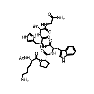 CC(=O)N[C@@H](CCCCN)C(=O)N1CCC[C@H]1C(=O)N[C@@H](Cc1c[nH]c2ccccc12)C(=O)N[C@@H](Cc1c[nH]cn1)C(=O)N[C@H](C(=O)NCC(N)=O)C(C)C